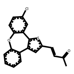 CC(=O)C=Cc1cc2c(s1)-c1cc(Cl)ccc1Oc1ccccc1-2